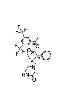 C[C@@H](O[C@H]1OCC[C@@H](CN2CCNC(=O)C2)[C@@H]1c1ccccc1)c1cc(C(F)(F)F)cc(C(F)(F)F)c1